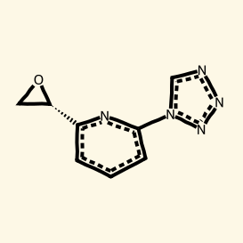 c1cc([C@@H]2CO2)nc(-n2cnnn2)c1